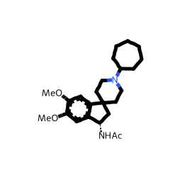 COc1cc2c(cc1OC)C1(CCN(C3CCCCCC3)CC1)C[C@@H]2NC(C)=O